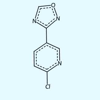 Clc1ccc(-c2ncon2)cn1